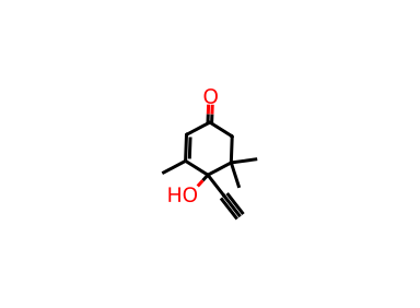 C#CC1(O)C(C)=CC(=O)CC1(C)C